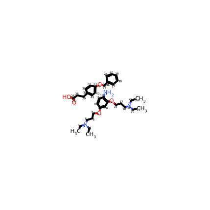 CCN(CC)CCCOc1ccc(N)c(OCCCN(CC)CC)c1.O=C(O)CCc1ccc(OCc2ccccc2)cc1